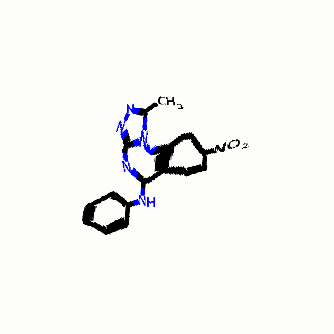 Cc1nnc2nc(Nc3ccccc3)c3ccc([N+](=O)[O-])cc3n12